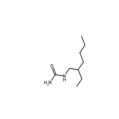 CCCCC(CC)CNC(N)=O